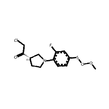 COOSc1ccc(N2CC[C@H](C(=O)CCl)C2)c(F)c1